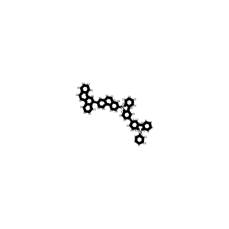 c1ccc(-n2c3ccccc3c3cc(-c4ccc5c(c4)c4ccccc4n5-c4ccc5c(ccc6cc(-c7cc8c9ccccc9ccc8c8ccccc78)ccc65)c4)ccc32)cc1